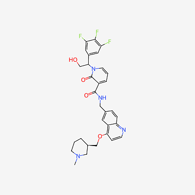 CN1CCC[C@@H](COc2ccnc3ccc(CNC(=O)c4cccn(C(CO)c5cc(F)c(F)c(F)c5)c4=O)cc23)C1